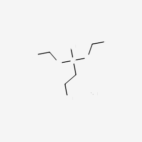 CCC[Si](C)(OCC)OCC.N